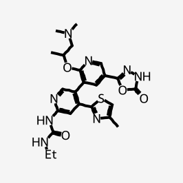 CCNC(=O)Nc1cc(-c2nc(C)cs2)c(-c2cc(-c3n[nH]c(=O)o3)cnc2OC(C)CN(C)C)cn1